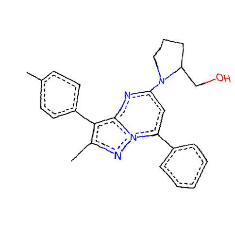 Cc1ccc(-c2c(C)nn3c(-c4ccccc4)cc(N4CCCC4CO)nc23)cc1